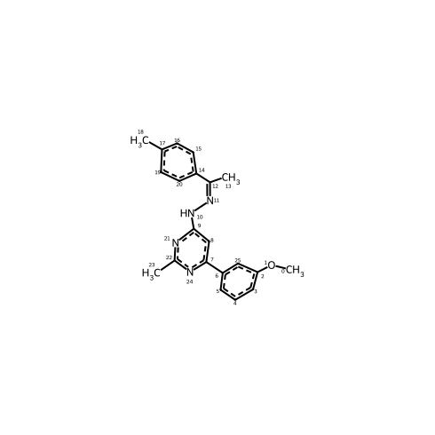 COc1cccc(-c2cc(NN=C(C)c3ccc(C)cc3)nc(C)n2)c1